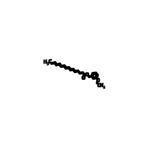 CCCCCCCCCCCCCCCC(=O)OCc1cccc(OCC)c1